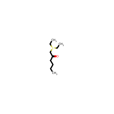 CCCCC(=O)C[S+](CC)CC